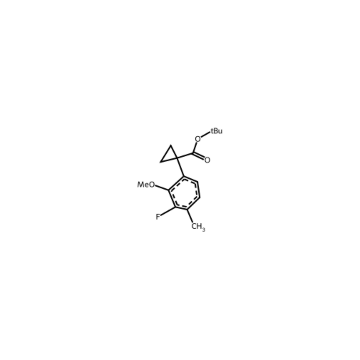 COc1c(C2(C(=O)OC(C)(C)C)CC2)ccc(C)c1F